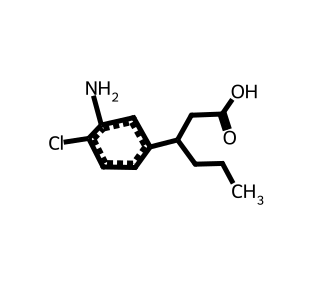 CCCC(CC(=O)O)c1ccc(Cl)c(N)c1